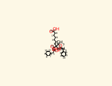 CC(OC(=O)Cc1ccccc1)C(CCCCCCC(=O)O)(C(=O)O)C(C)OC(=O)Cc1ccccc1